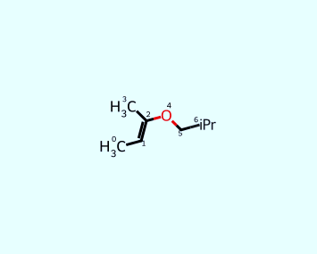 CC=C(C)OCC(C)C